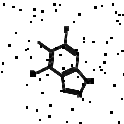 Cc1c(F)cc2[nH]ncc2c1Br